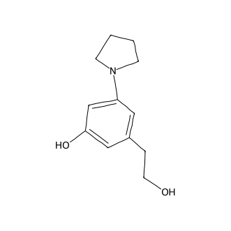 OCCc1cc(O)cc(N2CCCC2)c1